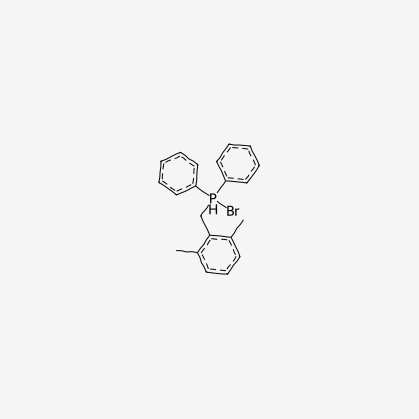 Cc1cccc(C)c1C[PH](Br)(c1ccccc1)c1ccccc1